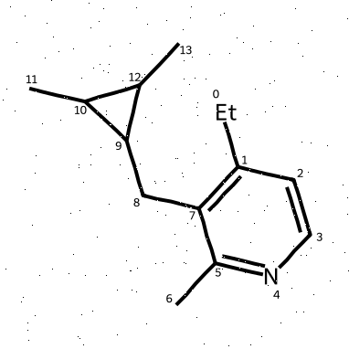 CCc1ccnc(C)c1CC1C(C)C1C